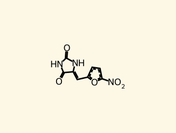 O=C1NC(=O)C(=Cc2ccc([N+](=O)[O-])o2)N1